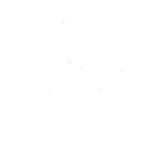 Cc1ccc2c(c1)c1c3ccccc3c3ccccc3c1n2-c1ccccc1